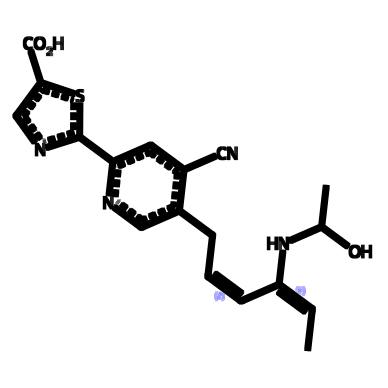 C/C=C(\C=C/Cc1cnc(-c2ncc(C(=O)O)s2)cc1C#N)NC(C)O